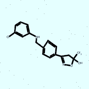 OC1(C(F)(F)F)CC(c2ccc(CNc3cccc(Cl)c3)cc2)=NO1